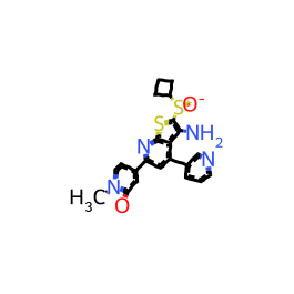 Cn1ccc(-c2cc(-c3cccnc3)c3c(N)c([S+]([O-])C4CCC4)sc3n2)cc1=O